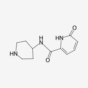 O=C(NC1CCNCC1)c1cccc(=O)[nH]1